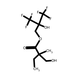 CCC(C)(CO)C(=O)OCC(O)(C(F)(F)F)C(F)(F)F